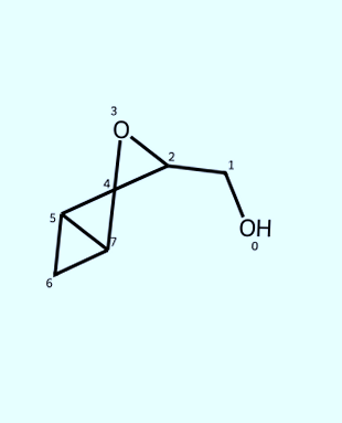 OCC1OC12C1CC12